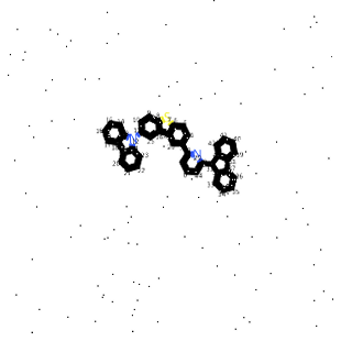 c1cc(-c2ccc3sc4ccc(-n5c6ccccc6c6ccccc65)cc4c3c2)nc(C2c3ccccc3-c3ccccc32)c1